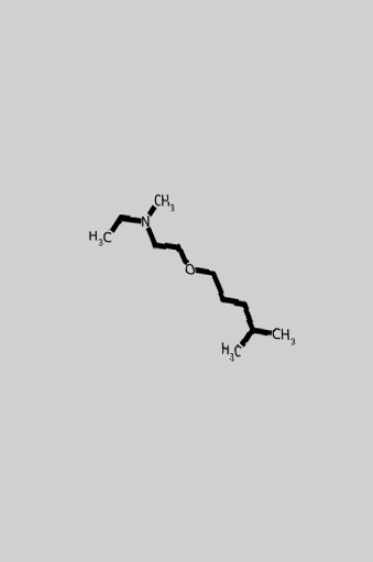 CCN(C)CCOCCCC(C)C